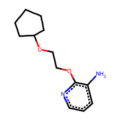 Nc1cccnc1OCCOC1CCCCC1